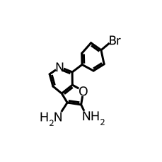 Nc1oc2c(-c3ccc(Br)cc3)nccc2c1N